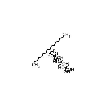 CCCCCCCCCCCCCCCC.FCF.O=P(O)(O)O.O=P(O)(O)O.O=P(O)(O)O